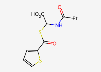 CCC(=O)NC(SC(=O)c1cccs1)C(=O)O